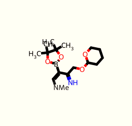 CN/C=C(/B1OC(C)(C)C(C)(C)O1)C(=N)COC1CCCCO1